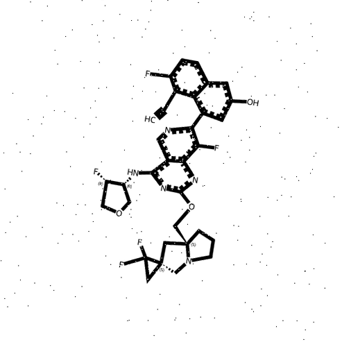 C#Cc1c(F)ccc2cc(O)cc(-c3ncc4c(N[C@@H]5COC[C@@H]5F)nc(OC[C@@]56CCCN5C[C@@]5(CC5(F)F)C6)nc4c3F)c12